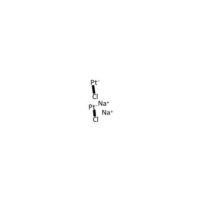 [Cl][Pt-].[Cl][Pt-].[Na+].[Na+]